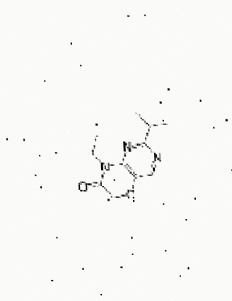 CCN1C(=O)COc2cnc(C(C)C)nc21